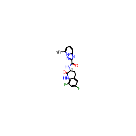 CCCc1cccc2nc(C(=O)N[C@H]3CCc4cc(F)cc(F)c4NC3=O)nn12